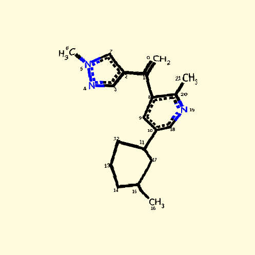 C=C(c1cnn(C)c1)c1cc(C2CCCC(C)C2)cnc1C